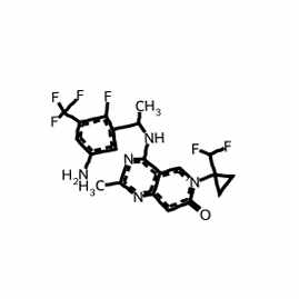 Cc1nc(NC(C)c2cc(N)cc(C(F)(F)F)c2F)c2cn(C3(C(F)F)CC3)c(=O)cc2n1